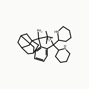 CC(C)(C)C(P)(c1ccccc1C(P)(C1CCCCN1)C1CCCCN1)C12CC3CC(CC(C3)C1)C2